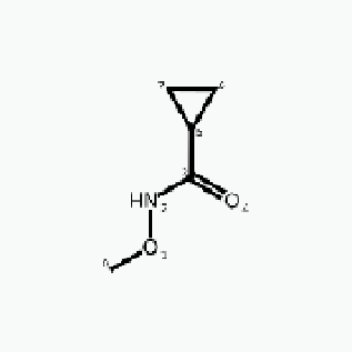 CONC(=O)C1CC1